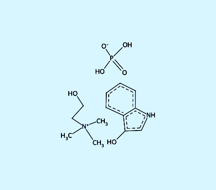 C[N+](C)(C)CCO.O=P([O-])(O)O.Oc1c[nH]c2ccccc12